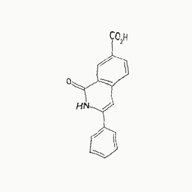 O=C(O)c1ccc2cc(-c3ccccc3)[nH]c(=O)c2c1